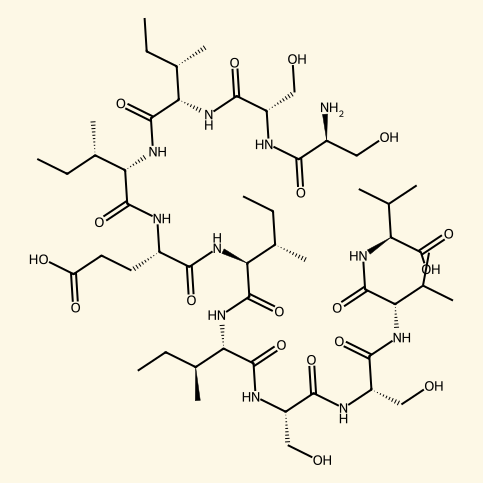 CC[C@H](C)[C@H](NC(=O)[C@H](CCC(=O)O)NC(=O)[C@@H](NC(=O)[C@@H](NC(=O)[C@H](CO)NC(=O)[C@@H](N)CO)[C@@H](C)CC)[C@@H](C)CC)C(=O)N[C@H](C(=O)N[C@@H](CO)C(=O)N[C@@H](CO)C(=O)N[C@H](C(=O)N[C@H](C(=O)O)C(C)C)C(C)C)[C@@H](C)CC